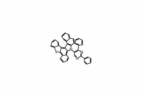 c1ccc(-c2ncc(-n3c4ccc5ccccc5c4c4c5c6ccccc6sc5c5ccccc5c43)c(-c3ccccc3)n2)cc1